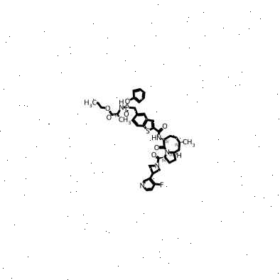 CCCOC(=O)[C@H](C)NP(=O)(Cc1ccc2sc(C(=O)N[C@H]3CC[C@H](C)C[C@H]4CC[C@@H](C(=O)N5CC(c6cnccc6F)C5)N4C3=O)cc2c1)Oc1ccccc1